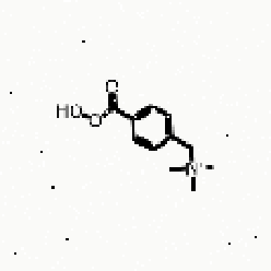 C[N+](C)(C)Cc1ccc(C(=O)OO)cc1